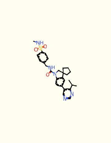 CNS(=O)(=O)c1ccc(CNC(=O)N2CC3(CCCC3)c3cc(-c4cncnc4C(C)C)ccc32)cc1